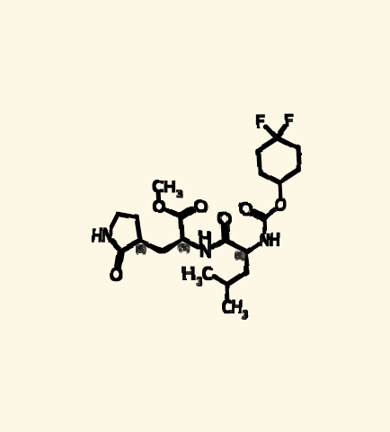 COC(=O)[C@H](C[C@@H]1CCNC1=O)NC(=O)[C@H](CC(C)C)NC(=O)OC1CCC(F)(F)CC1